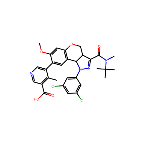 COc1cc2c(cc1-c1cncc(C(=O)O)c1C)C1C(CO2)C(C(=O)N(C)C(C)(C)C)=NN1c1cc(Cl)cc(Cl)c1